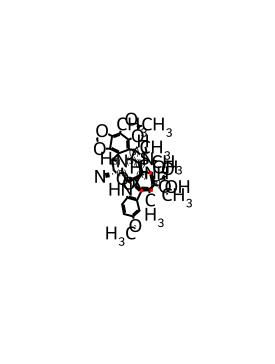 COc1ccc2[nH]c3c(c2c1)C[C@H](C(=O)O)N[C@]31CS[C@H]2c3c(OC(C)=O)c(C)c4c(c3[C@@H](COC1=O)N1[C@H]2[C@H](N(C)C)c2c(cc(C)c(OC)c2O)C[C@@H]1C#N)OCO4